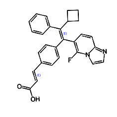 O=C(O)/C=C/c1ccc(/C(=C(\c2ccccc2)C2CCC2)c2ccc3nccn3c2F)cc1